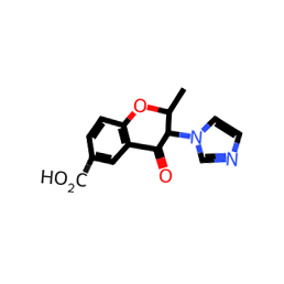 CC1Oc2ccc(C(=O)O)cc2C(=O)C1n1ccnc1